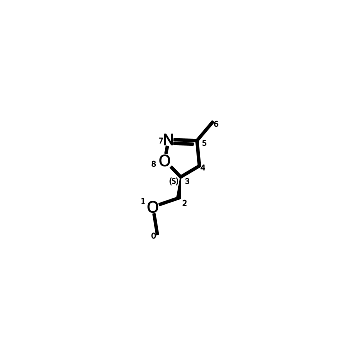 COC[C@@H]1CC(C)=NO1